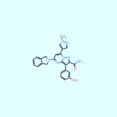 Cn1cc(-c2cc(N3Cc4ccccc4C3)nc3c(-c4cccc(O)c4)c(C(N)=O)nn23)cn1